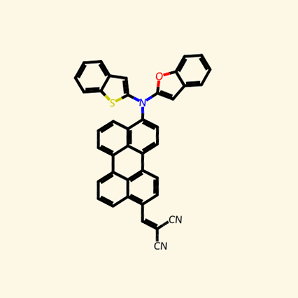 N#CC(C#N)=Cc1ccc2c3ccc(N(c4cc5ccccc5o4)c4cc5ccccc5s4)c4cccc(c5cccc1c52)c43